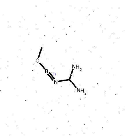 CO/B=N/C(N)N